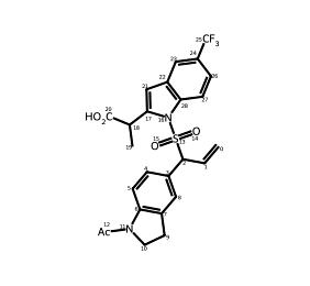 C=CC(c1ccc2c(c1)CCN2C(C)=O)S(=O)(=O)n1c(C(C)C(=O)O)cc2cc(C(F)(F)F)ccc21